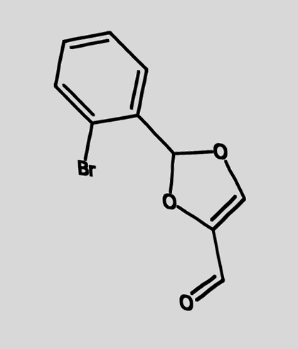 O=CC1=COC(c2ccccc2Br)O1